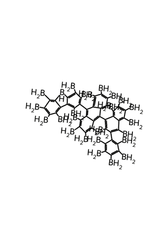 Bc1c(B)c(B)c(-c2c(B)c(-c3c4c(B)c(B)c(B)c(B)c4c(-c4c(B)c(B)c5c(c4B)-c4c(B)c(B)c(B)c(B)c4B5)c4c(B)c(B)c(B)c(B)c34)c3c(B)c(B)c(B)c(B)c3c2B)c(B)c1B